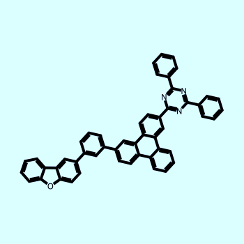 c1ccc(-c2nc(-c3ccccc3)nc(-c3ccc4c5cc(-c6cccc(-c7ccc8oc9ccccc9c8c7)c6)ccc5c5ccccc5c4c3)n2)cc1